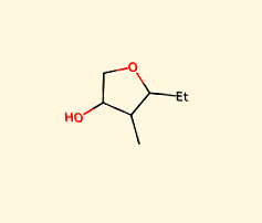 CCC1OCC(O)C1C